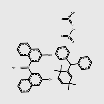 CC1(C)C=CC(C)(C)C(C(c2ccccc2)c2ccccc2)=C1.O=[SH](=O)O.O=[SH](=O)O.[N-]=[N+](c1cc(O)cc2ccccc12)c1cc(O)cc2ccccc12.[Na]